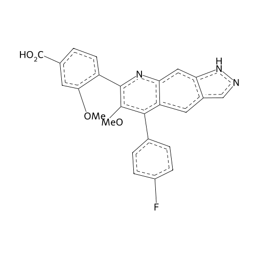 COc1cc(C(=O)O)ccc1-c1nc2cc3[nH]ncc3cc2c(-c2ccc(F)cc2)c1OC